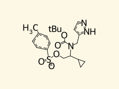 Cc1ccc(S(=O)(=O)OCC(C2CC2)N(Cc2ccn[nH]2)C(=O)OC(C)(C)C)cc1